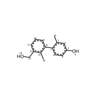 Cc1cc(O)ccc1-c1cccc(CO)c1C